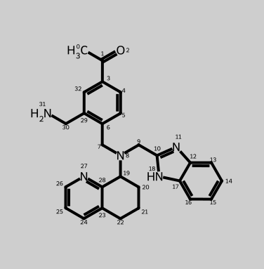 CC(=O)c1ccc(CN(Cc2nc3ccccc3[nH]2)C2CCCc3cccnc32)c(CN)c1